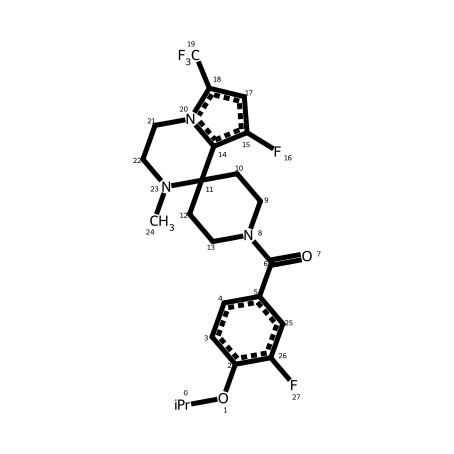 CC(C)Oc1ccc(C(=O)N2CCC3(CC2)c2c(F)cc(C(F)(F)F)n2CCN3C)cc1F